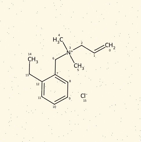 C=CC[N+](C)(C)Cc1ccccc1CC.[Cl-]